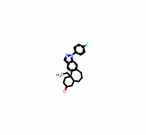 CCC12CCC(=O)CC1CCCc1cc3c(cnn3-c3ccc(F)cc3)cc12